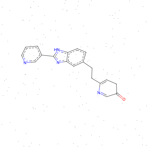 O=C1C=NC(CCc2ccc3[nH]c(-c4cccnc4)nc3c2)=CC1